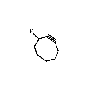 FC1C#CCCCCC1